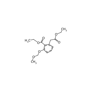 CCOC(=O)Cc1cccc(OCOC)c1C(=O)OCC